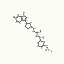 COc1cccc(NNC(=O)CCN2CCC(c3c[nH]c4cc(F)ccc34)C2)n1